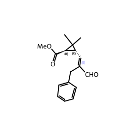 COC(=O)[C@@H]1[C@@H](/C=C(/C=O)Cc2ccccc2)C1(C)C